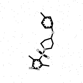 Cc1ccc(OC2CCN(S(=O)(=O)c3c(C)n[nH]c3C)CC2)cc1